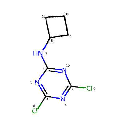 Clc1nc(Cl)nc(NC2CCC2)n1